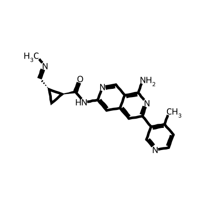 CN=C[C@H]1C[C@@H]1C(=O)Nc1cc2cc(-c3cnccc3C)nc(N)c2cn1